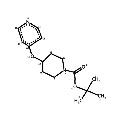 CC(C)(C)OC(=O)N1CCC(Oc2ccncn2)CC1